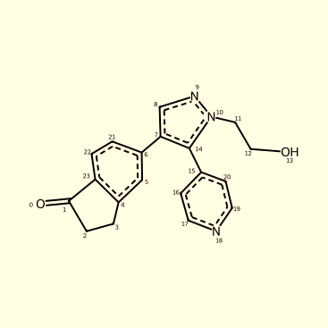 O=C1CCc2cc(-c3cnn(CCO)c3-c3ccncc3)ccc21